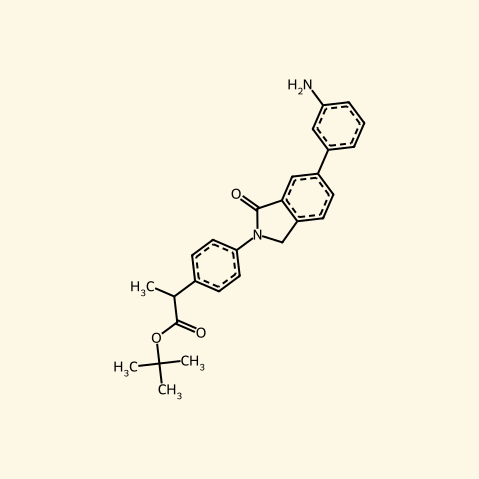 CC(C(=O)OC(C)(C)C)c1ccc(N2Cc3ccc(-c4cccc(N)c4)cc3C2=O)cc1